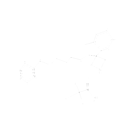 Cc1ccccc1C1(OCCCCOCc2ccccc2)CNC1.O=C(O)C(F)(F)F